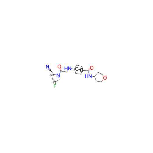 N#C[C@@H]1C[C@H](F)CN1C(=O)CNC12CCC(C(=O)NC3CCOCC3)(CC1)CC2